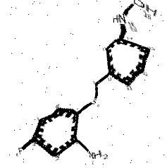 Nc1cc(F)ccc1SCc1cccc(NO)c1